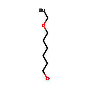 CCC(C)COCCCCCC[O]